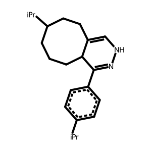 CC(C)c1ccc(C2=NNC=C3CCC(C(C)C)CCCC32)cc1